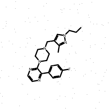 CCCn1cc(CN2CCN(c3nccnc3-c3ccc(F)cc3)CC2)c(C)n1